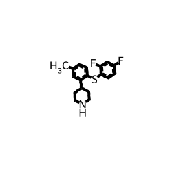 Cc1ccc(Sc2ccc(F)cc2F)c(C2CCNCC2)c1